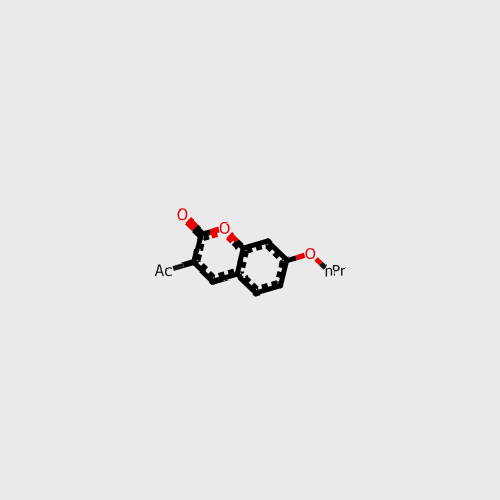 CCCOc1ccc2cc(C(C)=O)c(=O)oc2c1